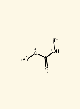 CC(C)BC(=O)OC(C)(C)C